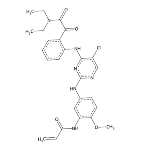 C=CC(=O)Nc1cc(Nc2ncc(Cl)c(Nc3ccccc3C(=O)C(=O)N(CC)CC)n2)ccc1OC